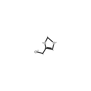 ClCC1=COCO1